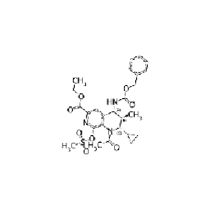 CCOC(=O)c1cc2c(c(OS(C)(=O)=O)n1)N(C(C)=O)[C@@H](C1CC1)[C@H](C)[C@H]2NC(=O)OCc1ccccc1